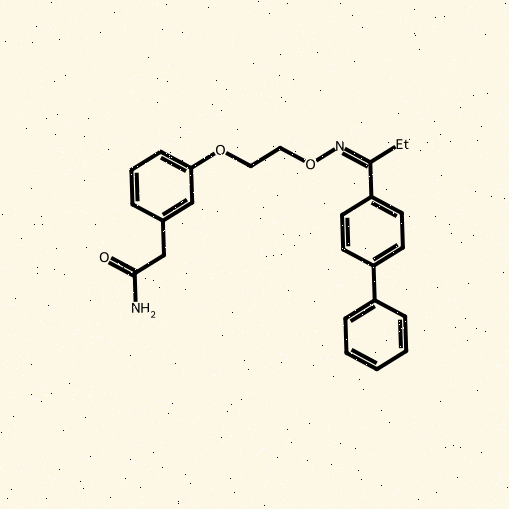 CCC(=NOCCOc1cccc(CC(N)=O)c1)c1ccc(-c2ccccc2)cc1